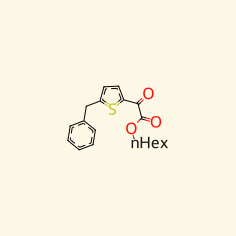 CCCCCCOC(=O)C(=O)c1ccc(Cc2ccccc2)s1